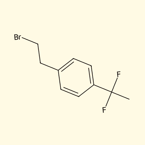 CC(F)(F)c1ccc(CCBr)cc1